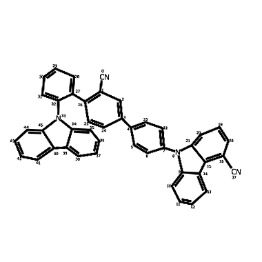 N#Cc1cc(-c2ccc(-n3c4ccccc4c4c(C#N)cccc43)cc2)ccc1-c1ccccc1-n1c2ccccc2c2ccccc21